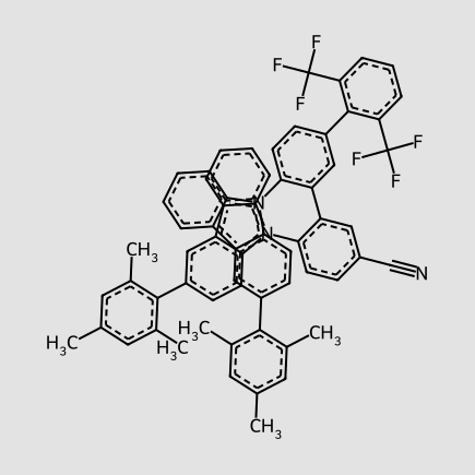 Cc1cc(C)c(-c2ccc3c(c2)c2ccccc2n3-c2ccc(C#N)cc2-c2cc(-c3c(C(F)(F)F)cccc3C(F)(F)F)ccc2-n2c3ccccc3c3cc(-c4c(C)cc(C)cc4C)ccc32)c(C)c1